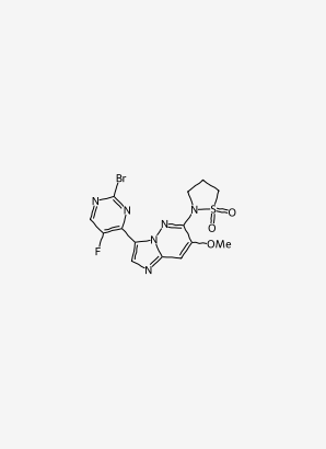 COc1cc2ncc(-c3nc(Br)ncc3F)n2nc1N1CCCS1(=O)=O